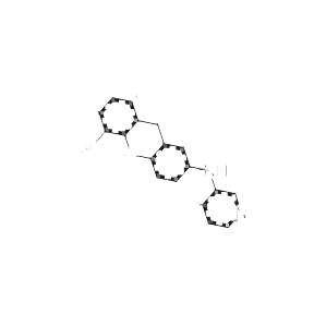 Brc1cccc2c1Oc1ccc(Nc3cccnc3)cc1C2